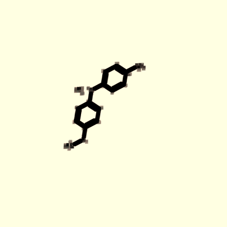 CSc1ccc(Oc2ccc(N)cc2)cc1.Cl